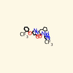 Cn1nc(NC(=O)C(CC2CCCC2)n2ncc(Oc3ccccc3C(F)(F)F)cc2=O)cc1C(F)(F)F